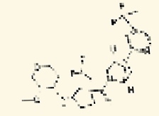 CO[C@@H]1COCC[C@@H]1N[C@H]1CC[C@](CC(F)F)(C(=O)N2C[C@@H]3C[C@H]2CN3c2nccc(C(F)(F)F)n2)C1